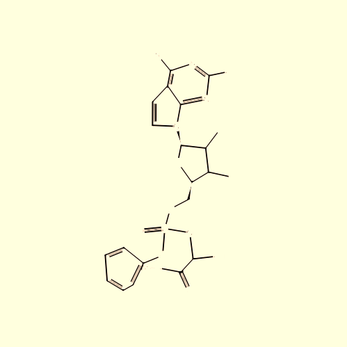 COC(=O)C(C)NP(=O)(OC[C@H]1O[C@@H](n2ccc3c(N)nc(Cl)nc32)C(F)C1O)Oc1ccccc1